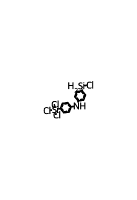 Cl[SiH2]c1ccc(Nc2ccc([Si](Cl)(Cl)Cl)cc2)cc1